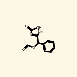 O=COC(c1ccccc1)c1nc(=O)[nH][nH]1